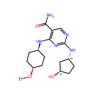 CCO[C@H]1CC[C@@H](Nc2nc(N[C@@H]3CC[C@@H](O)C3)ncc2C(N)=O)CC1